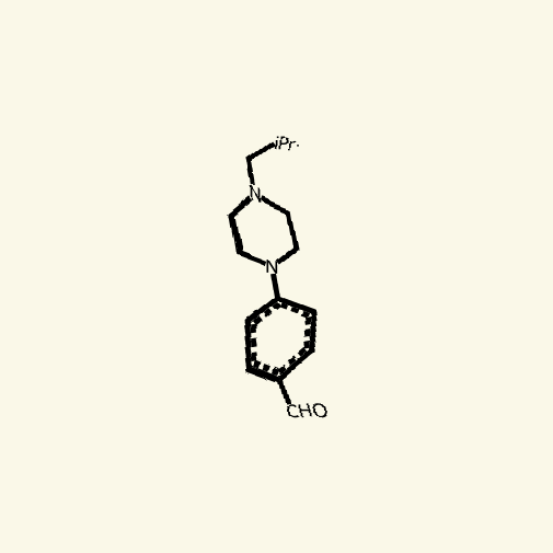 C[C](C)CN1CCN(c2ccc(C=O)cc2)CC1